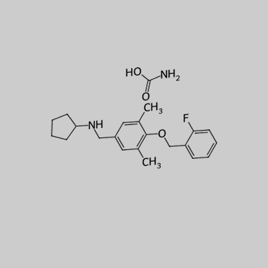 Cc1cc(CNC2CCCC2)cc(C)c1OCc1ccccc1F.NC(=O)O